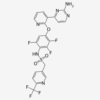 Nc1nccc(-c2cccnc2Oc2cc(F)c(NS(=O)(=O)Cc3ccc(C(F)(F)F)nc3)c(F)c2F)n1